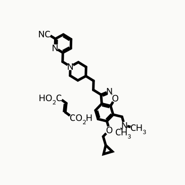 CN(C)Cc1c(OCC2CC2)ccc2c(CCC3CCN(Cc4cccc(C#N)n4)CC3)noc12.O=C(O)C=CC(=O)O